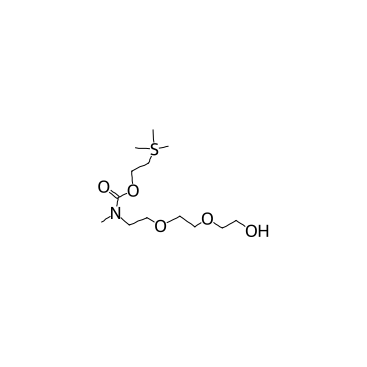 CN(CCOCCOCCO)C(=O)OCCS(C)(C)C